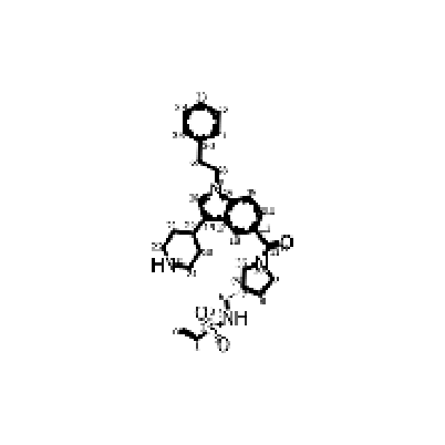 C=CS(=O)(=O)NC[C@H]1CCN(C(=O)c2ccc3c(c2)c(C2CCNCC2)cn3CCc2ccccc2)C1